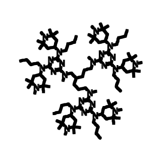 CCCCN(c1nc(N(C)CCCC(CCCN(C)c2nc(N(CCCC)C3CC(C)(C)N(C)C(C)(C)C3)nc(N(CCCC)C3CC(C)(C)N(C)C(C)(C)C3)n2)CN(C)c2nc(N(CCCC)C3CC(C)(C)N(C)C(C)(C)C3)nc(N(CCCC)C3CC(C)(C)N(C)C(C)(C)C3)n2)nc(N(CCCC)C2CC(C)(C)N(C)C(C)(C)C2)n1)C1CC(C)(C)N(C)C(C)(C)C1